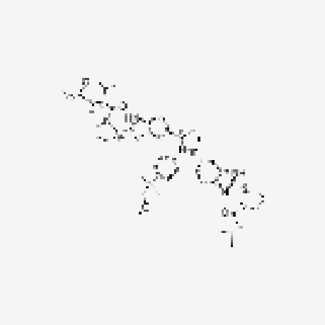 COCC(C)(C)c1ccc(N2[C@@H](c3ccc4[nH]c([C@@H]5CCCN5C(=O)[C@@H](NC(=O)OC)C(C)C)nc4c3)CC[C@@H]2c2ccc3nc([C@@H]4CCCN4C(=O)[CH]C(C)C)[nH]c3c2)cc1